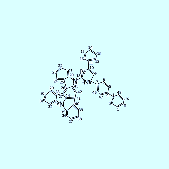 c1ccc(-c2ccc(-c3cc(-c4ccccc4)nc(-n4c5ccccc5c5c6c7ccccc7n7c8ccccc8c(cc54)c67)n3)cc2)cc1